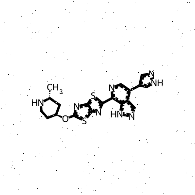 C[C@@H]1C[C@@H](Oc2nc3sc(-c4ncc(-c5cn[nH]c5)c5cn[nH]c45)nc3s2)CCN1